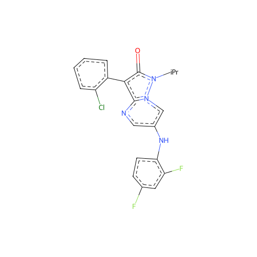 CC(C)n1c(=O)c(-c2ccccc2Cl)c2ncc(Nc3ccc(F)cc3F)cn21